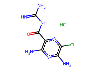 Cl.N=C(N)NC(=O)c1nc(Cl)c(N)nc1N